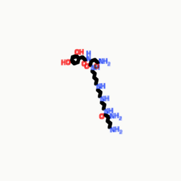 NCCCC(N)C(=O)NCCCNCCCNCCCCCNC(=O)C(CC(N)=O)NC(=O)CC1CC=C(O)C=C1O